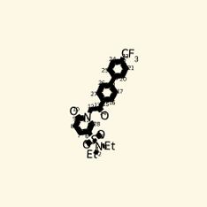 CCN(CC)S(=O)(=O)c1ccc(=O)n(CC(=O)c2ccc(-c3ccc(C(F)(F)F)cc3)cc2)c1